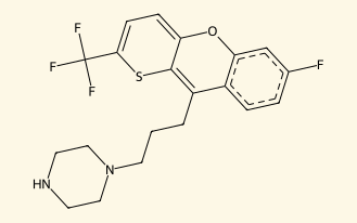 Fc1ccc2c(c1)OC1=CC=C(C(F)(F)F)SC1=C2CCCN1CCNCC1